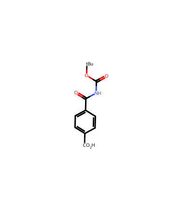 CC(C)(C)OC(=O)NC(=O)c1ccc(C(=O)O)cc1